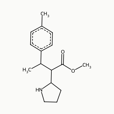 COC(=O)C(C1CCCN1)C(C)c1ccc(C)cc1